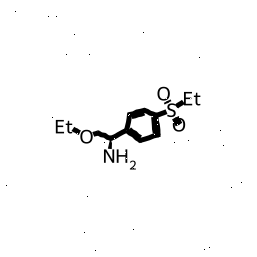 CCOC[C@H](N)c1ccc(S(=O)(=O)CC)cc1